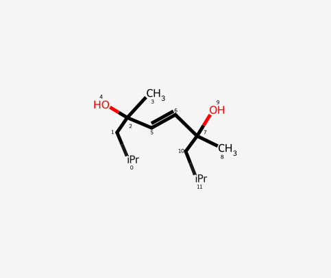 CC(C)CC(C)(O)C=CC(C)(O)CC(C)C